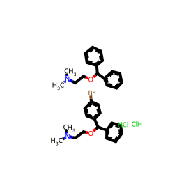 CN(C)CCOC(c1ccccc1)c1ccc(Br)cc1.CN(C)CCOC(c1ccccc1)c1ccccc1.Cl.Cl